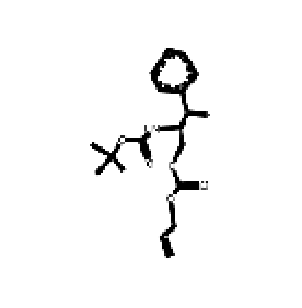 C=CCOC(=O)OC[C@@H](NC(=O)OC(C)(C)C)C(F)c1ccccc1